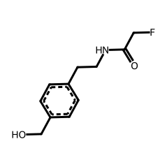 O=C(CF)NCCc1ccc(CO)cc1